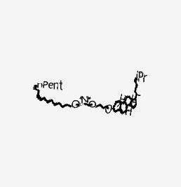 CCCCC/C=C\C/C=C\CCCCCCCCOC[C@@H](COCCCCO[C@H]1CC[C@@]2(C)C(=CC[C@H]3[C@@H]4CC[C@H]([C@H](C)CCCC(C)C)[C@@]4(C)CC[C@@H]32)C1)N(C)C